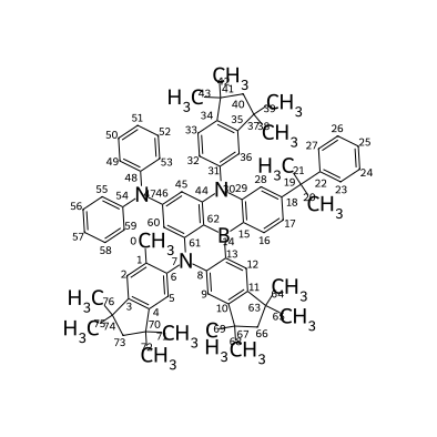 Cc1cc2c(cc1N1c3cc4c(cc3B3c5ccc(C(C)(C)c6ccccc6)cc5N(c5ccc6c(c5)C(C)(C)CC6(C)C)c5cc(N(c6ccccc6)c6ccccc6)cc1c53)C(C)(C)CC4(C)C)C(C)(C)CC2(C)C